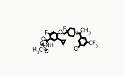 C[C@@H](c1cc(Cl)cc(C(F)(F)F)c1)N1CCC(F)(COc2cc(F)c(C(=O)NS(C)(=O)=O)cc2C2CC2)CC1